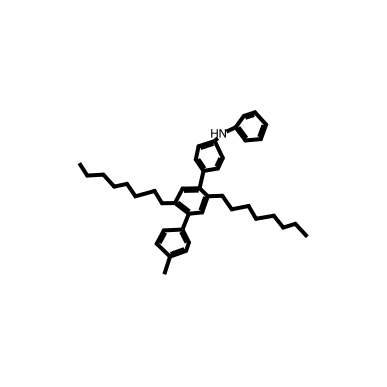 CCCCCCCCc1cc(-c2ccc(Nc3ccccc3)cc2)c(CCCCCCCC)cc1-c1ccc(C)cc1